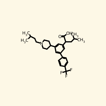 CC(C)CCN1CCC(c2cc(-c3ccc(C(F)(F)F)cc3)cc(C(CC(C)C)C(=O)O)c2)CC1